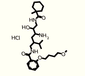 COCCCCOc1ccccc1C(=O)NCC(CC(N)C(O)CNC(=O)C1(C)CCCCC1)C(C)C.Cl